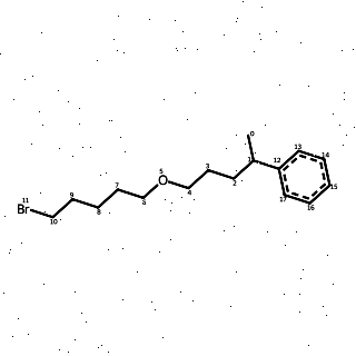 CC(CCCOCCCCCBr)c1ccccc1